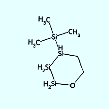 C[Si](C)(C)[SiH]1CCO[SiH2][SiH2]1